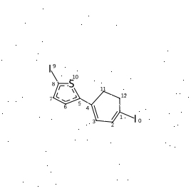 IC1=CC=C(c2ccc(I)s2)CC1